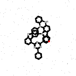 c1ccc(-c2nc(-c3ccccc3)nc(-c3cccc4oc5ccc(-n6c7ccccc7c7ccc8c(c76)N(c6ccccc6)c6ccccc6N8)cc5c34)n2)cc1